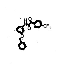 O=C(Nc1cccc(OCc2ccccc2)c1)C(=O)c1ccc(C(F)(F)F)cc1